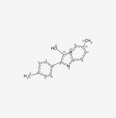 Cc1ccc(-c2nc3ccc(C)cn3c2O)cc1